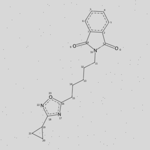 O=C1c2ccccc2C(=O)N1CCCCCc1nc(C2CC2)no1